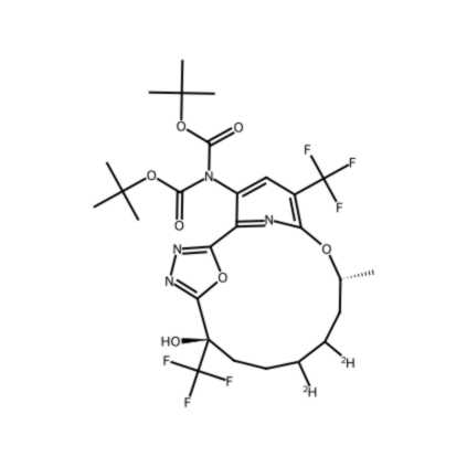 [2H]C1CC[C@](O)(C(F)(F)F)c2nnc(o2)-c2nc(c(C(F)(F)F)cc2N(C(=O)OC(C)(C)C)C(=O)OC(C)(C)C)O[C@H](C)CC1[2H]